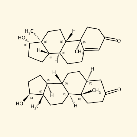 C[C@]12CCC(=O)C[C@@H]1CC[C@@H]1[C@@H]2CC[C@]2(C)[C@@H](O)CC[C@@H]12.C[C@]12CC[C@H]3[C@@H](CCC4=CC(=O)CC[C@@]43C)[C@@H]1CC[C@@H]2O